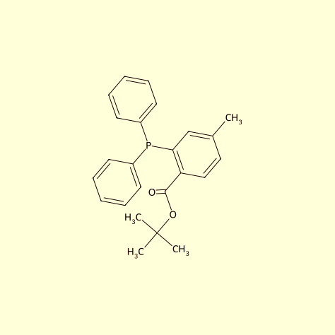 Cc1ccc(C(=O)OC(C)(C)C)c(P(c2ccccc2)c2ccccc2)c1